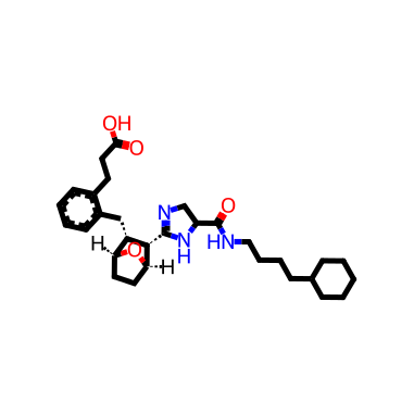 O=C(O)CCc1ccccc1C[C@@H]1[C@H](C2=NCC(C(=O)NCCCCC3CCCCC3)N2)[C@H]2CC[C@@H]1O2